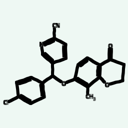 Cc1c(OC(c2ccc(Cl)cc2)c2ccc(C#N)nc2)ccc2c1OCCC2=O